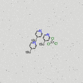 CC(C)(C)c1ccncc1.CC(C)(C)c1ccncc1.CC(C)(C)c1ccncc1.[Cl][Cr]([Cl])[Cl]